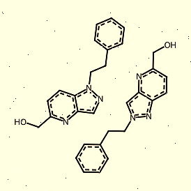 OCc1ccc2c(cnn2CCc2ccccc2)n1.OCc1ccc2nn(CCc3ccccc3)cc2n1